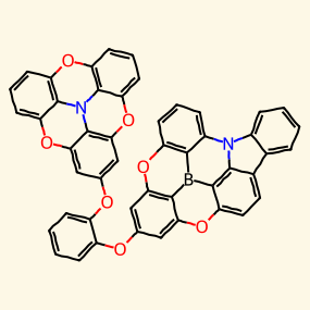 c1ccc(Oc2cc3c4c(c2)Oc2cccc5c2N4c2c(cccc2O3)O5)c(Oc2cc3c4c(c2)Oc2ccc5c6ccccc6n6c5c2B4c2c(cccc2-6)O3)c1